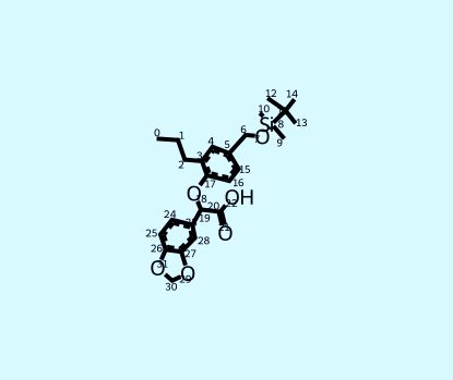 CCCc1cc(CO[Si](C)(C)C(C)(C)C)ccc1OC(C(=O)O)c1ccc2c(c1)OCO2